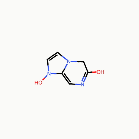 OC1=NC=C2N(O)C=CN2C1